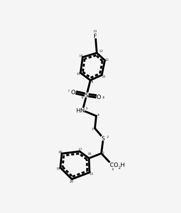 O=C(O)C(SCCNS(=O)(=O)c1ccc(F)cc1)c1ccccc1